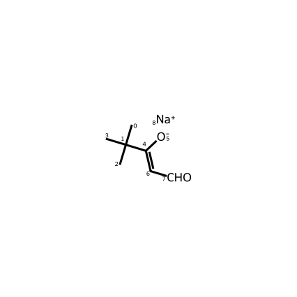 CC(C)(C)C([O-])=CC=O.[Na+]